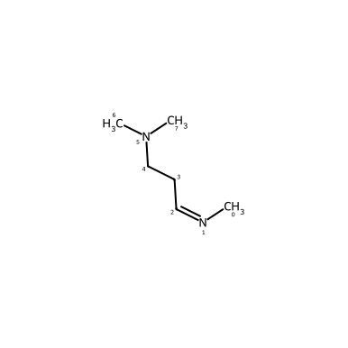 C/N=C\CCN(C)C